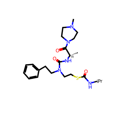 CC(C)NC(=O)SCCN(CCc1ccccc1)C(=O)N[C@@H](C)C(=O)N1CCN(C)CC1